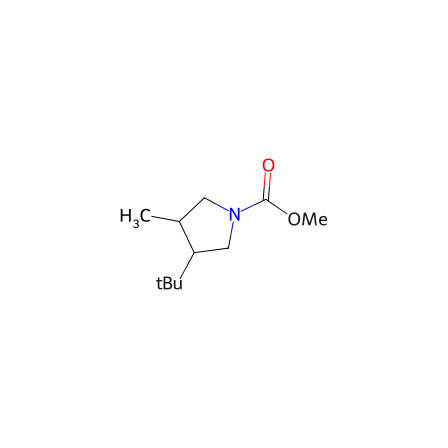 COC(=O)N1CC(C)C(C(C)(C)C)C1